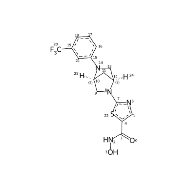 O=C(NO)c1cnc(N2C[C@@H]3C[C@H]2CN3c2cccc(C(F)(F)F)c2)s1